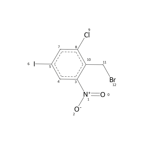 O=[N+]([O-])c1cc(I)cc(Cl)c1CBr